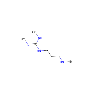 CCNCCCNC(=NC(C)C)NC(C)C